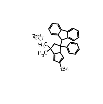 CC(C)(C)C1=CC2C(=C1)C(C)(C)CC2(c1ccccc1)C1c2ccccc2-c2ccccc21.[Cl-].[Cl-].[Zr+2]